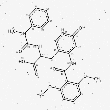 COc1cccc(OC)c1C(=O)Nc1nc(=O)[nH]cc1CC(NC(=O)N(C)c1ccccc1)C(=O)O